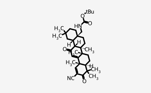 CC1(C)CC[C@]2(CNC(=O)OC(C)(C)C)CC[C@]3(C)[C@H](C(=O)C=C4[C@@]5(C)C=C(C#N)C(=O)C(C)(C)[C@@H]5CC[C@]43C)[C@@H]2C1